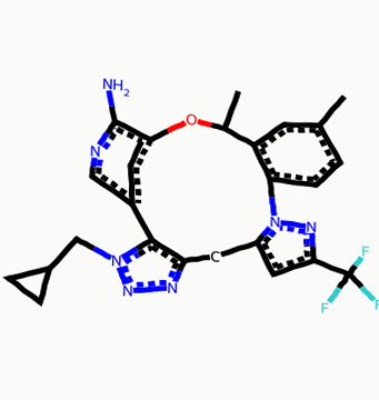 Cc1ccc2c(c1)C(C)Oc1cc(cnc1N)-c1c(nnn1CC1CC1)Cc1cc(C(F)(F)F)nn1-2